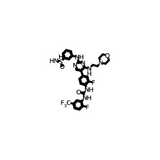 N=[SH](=O)c1cccc(Nc2ncc(-c3ccc(NC(=O)Nc4cc(C(F)(F)F)ccc4F)c(F)c3)c(NCCN3CCOCC3)n2)c1